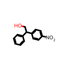 O=[N+]([O-])c1ccc(C(CO)c2ccccc2)cc1